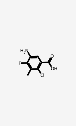 Cc1c(F)c(N)cc(C(=O)O)c1Cl